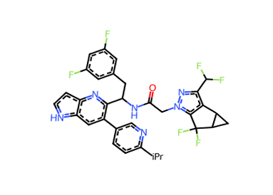 CC(C)c1ccc(-c2cc3[nH]ccc3nc2C(Cc2cc(F)cc(F)c2)NC(=O)Cn2nc(C(F)F)c3c2C(F)(F)C2CC32)cn1